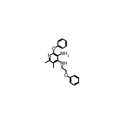 Cc1nc(Oc2ccccc2)c(N)c(NCCOc2ccccc2)c1C